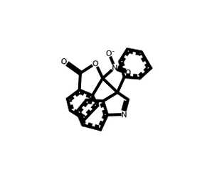 O=C1OC([N+](=O)[O-])(C2(c3ccccc3)C=Nc3ccccc32)c2ccccc21